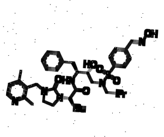 CC[C@H](C)[C@@H](C(=O)N[C@@H](Cc1ccccc1)[C@H](O)CN(CC(C)C)S(=O)(=O)c1ccc(/C=N/O)cc1)N1CCN(Cc2c(C)ccnc2C)C1=O